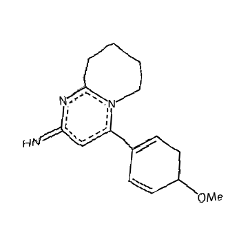 COC1C=CC(c2cc(=N)nc3n2CCCC3)=CC1